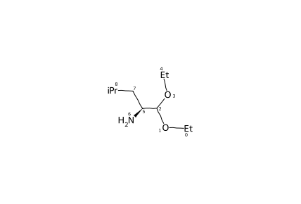 CCOC(OCC)[C@@H](N)CC(C)C